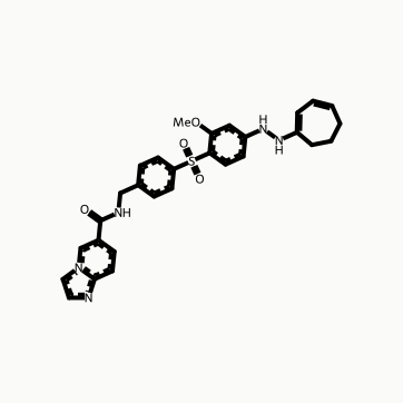 COc1cc(NNC2=CC=CCCC2)ccc1S(=O)(=O)c1ccc(CNC(=O)c2ccc3nccn3c2)cc1